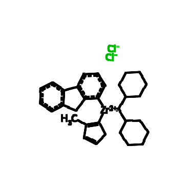 CC1=[C]([Zr+2](=[C](C2CCCCC2)C2CCCCC2)[c]2cccc3c2Cc2ccccc2-3)CC=C1.[Cl-].[Cl-]